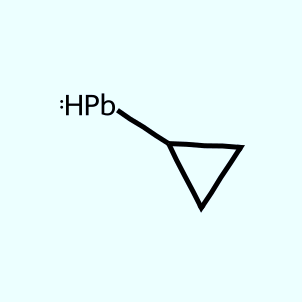 [PbH][CH]1CC1